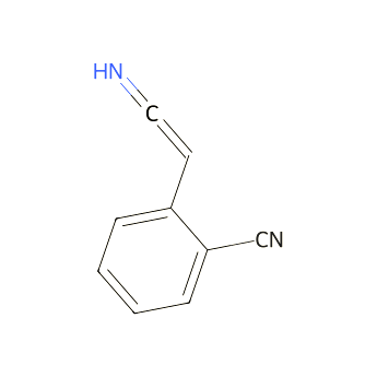 N#Cc1ccccc1C=C=N